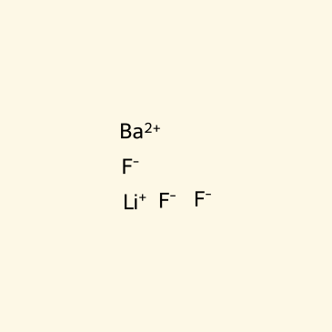 [Ba+2].[F-].[F-].[F-].[Li+]